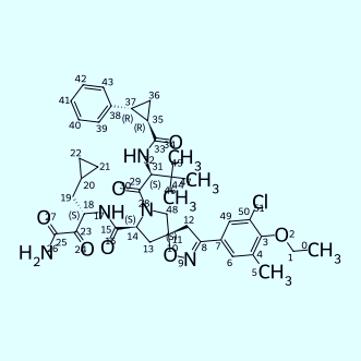 CCOc1c(C)cc(C2=NO[C@]3(C2)C[C@@H](C(=O)N[C@@H](CC2CC2)C(=O)C(N)=O)N(C(=O)[C@@H](NC(=O)[C@@H]2C[C@H]2c2ccccc2)C(C)(C)C)C3)cc1Cl